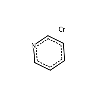 [Cr].c1ccncc1